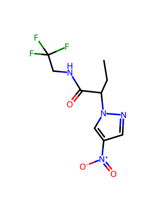 CCC(C(=O)NCC(F)(F)F)n1cc([N+](=O)[O-])cn1